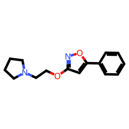 c1ccc(-c2cc(OCCN3CCCC3)no2)cc1